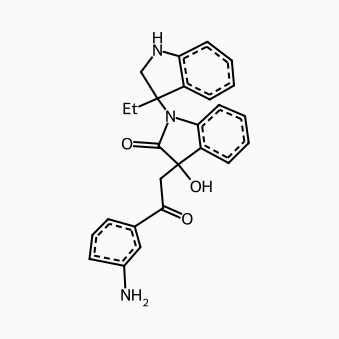 CCC1(N2C(=O)C(O)(CC(=O)c3cccc(N)c3)c3ccccc32)CNc2ccccc21